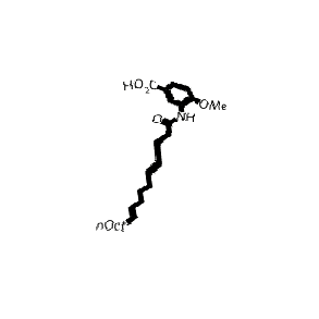 CCCCCCCCC=CCCCCCCCC(=O)Nc1cc(C(=O)O)ccc1OC